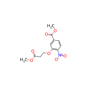 COC(=O)CCOc1cc(C(=O)OC)ccc1[N+](=O)[O-]